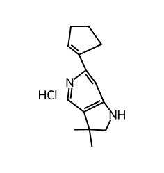 CC1(C)CNc2cc(C3=CCCC3)ncc21.Cl